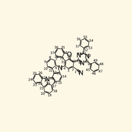 N#Cc1cc(-n2c3ccccc3c3c2ccc2c4cccc5c6ccccc6n(c54)c23)c2c(oc3ccccc32)c1-c1nc(-c2ccccc2)nc(-c2ccccc2)n1